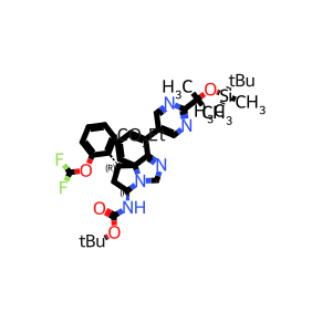 CCOC(=O)c1cccc(OC(F)F)c1[C@H]1C[C@H](NC(=O)OC(C)(C)C)N2CN=C3C(c4cnc(C(C)(C)O[Si](C)(C)C(C)(C)C)nc4)=CC=CC312